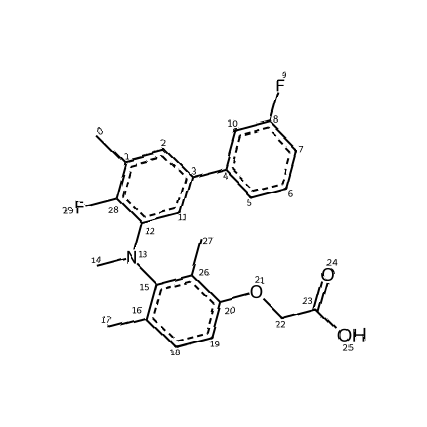 Cc1cc(-c2cccc(F)c2)cc(N(C)c2c(C)ccc(OCC(=O)O)c2C)c1F